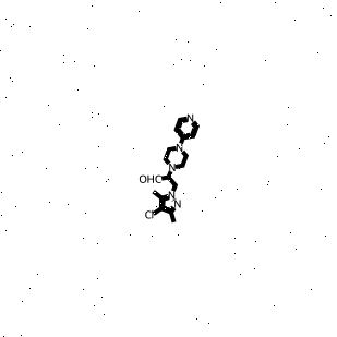 Cc1nn(CC(C=O)N2CCN(c3ccncc3)CC2)c(C)c1Cl